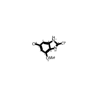 COc1cc(Cl)cc2[nH]c(Cl)nc12